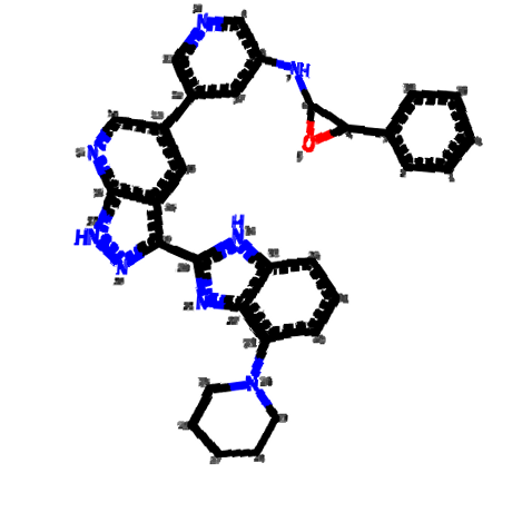 c1ccc(C2OC2Nc2cncc(-c3cnc4[nH]nc(-c5nc6c(N7CCCCC7)cccc6[nH]5)c4c3)c2)cc1